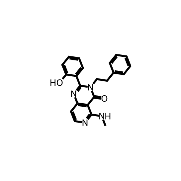 CNc1nccc2nc(-c3ccccc3O)n(CCc3ccccc3)c(=O)c12